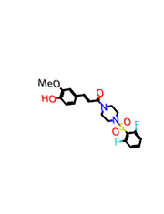 COc1cc(/C=C/C(=O)N2CCN(S(=O)(=O)c3c(F)cccc3F)CC2)ccc1O